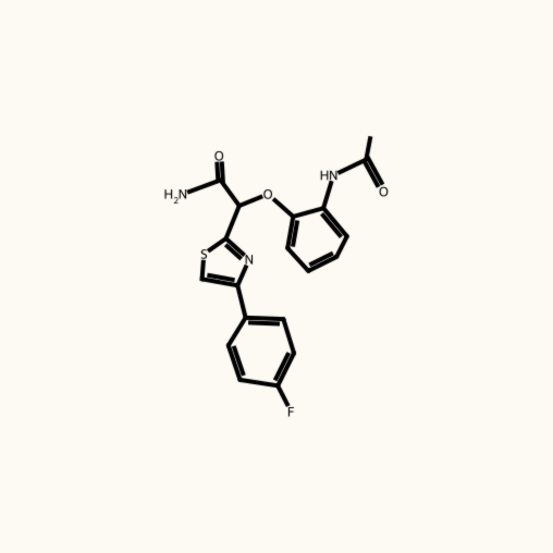 CC(=O)Nc1ccccc1OC(C(N)=O)c1nc(-c2ccc(F)cc2)cs1